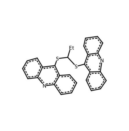 CCC(Sc1c2ccccc2nc2ccccc12)Sc1c2ccccc2nc2ccccc12